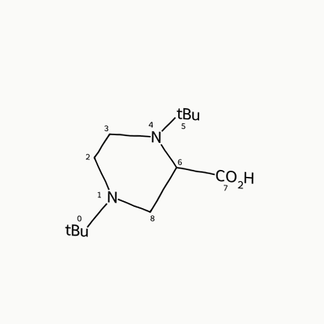 CC(C)(C)N1CCN(C(C)(C)C)C(C(=O)O)C1